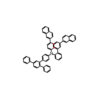 c1ccc(-c2ccc(-c3ccccc3)c(-c3ccc(N(c4ccc(-c5ccc6ccccc6c5)cc4)c4ccccc4-c4cccc(-c5ccc6ccccc6c5)c4)cc3)c2)cc1